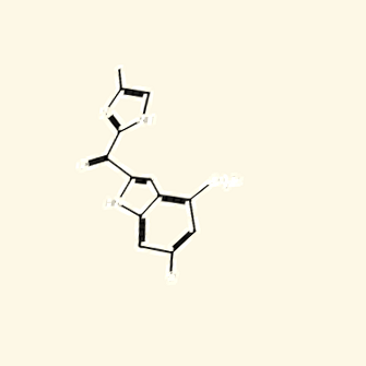 CCOC(=O)c1cc(Cl)cc2[nH]c(C(=O)c3nc(C)c[nH]3)[c]c12